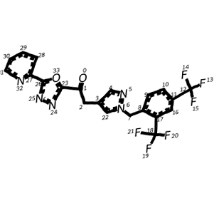 O=C(Cc1cnn(Cc2ccc(C(F)(F)F)cc2C(F)(F)F)c1)c1nnc(-c2ccccn2)o1